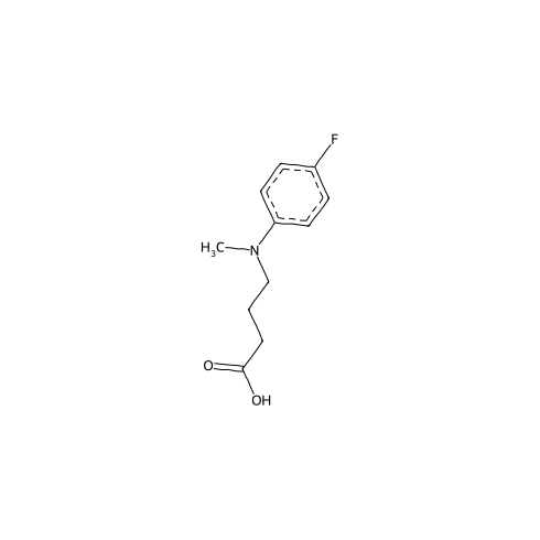 CN(CCCC(=O)O)c1ccc(F)cc1